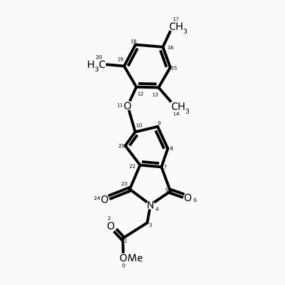 COC(=O)CN1C(=O)c2ccc(Oc3c(C)cc(C)cc3C)cc2C1=O